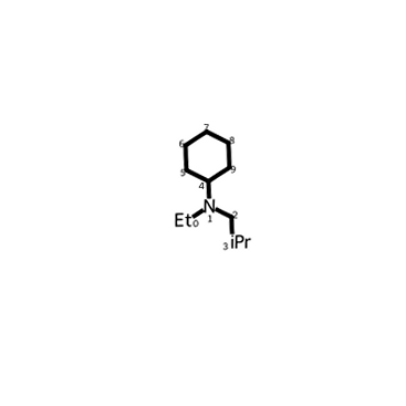 CCN(CC(C)C)C1CCCCC1